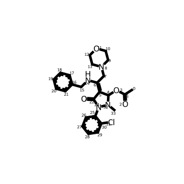 CC(=O)OC1C(=C(CN2CCOCC2)NCc2ccccc2)C(=O)N(c2ccccc2Cl)N1C